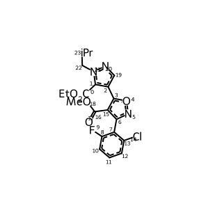 CCOC(=O)c1c(-c2onc(-c3c(F)cccc3Cl)c2C(=O)OC)cnn1CC(C)C